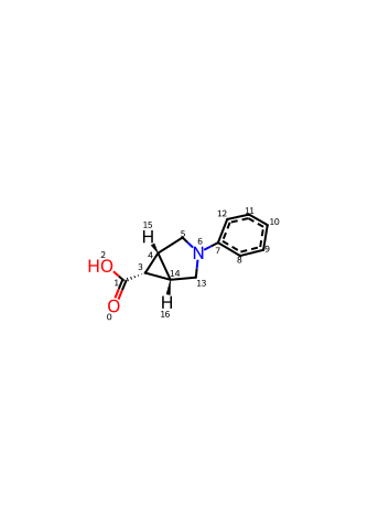 O=C(O)[C@@H]1[C@@H]2CN(c3ccccc3)C[C@@H]21